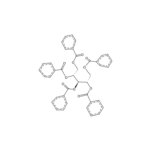 O=C(OC[C@H](OC(=O)c1ccccc1)[C@@H](OC(=O)c1ccccc1)[C@@H](COC(=O)c1ccccc1)OC(=O)c1ccccc1)c1ccccc1